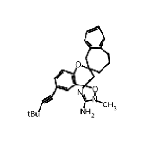 CN1OC2(CC3(CCCc4ccccc4C3)Oc3ccc(C#CC(C)(C)C)cc32)N=C1N